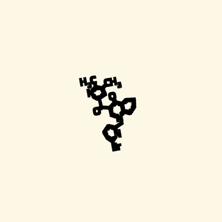 Cc1cc(C(=O)c2cn(Cc3cccc(Br)n3)c3ccccc3c2=O)cnc1C